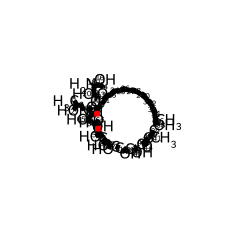 CC(O)CNC(=O)[C@H]1[C@@H]2CC(O[C@@H]3OC[C@@H](O)[C@H](N)[C@@H]3O)/C=C/C=C/C=C/C=C/C=C/C=C/C=C/[C@H](C)[C@@H](O)C[C@H](C)OC(=O)CC(O)CC(O)CCC(O)C(O)CC(O)CC(O)(C[C@@H]1O)O2